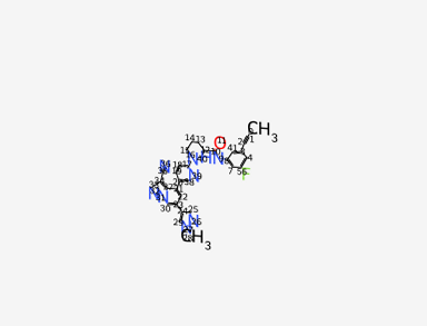 CC#Cc1cc(F)cc(NC(=O)C2CCCN(c3ccc(-c4cc(-c5cnn(C)c5)cn5ncc(C#N)c45)cn3)C2)c1